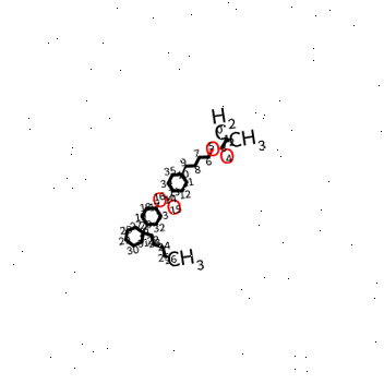 C=C(C)C(=O)OCCCC[C@H]1CC[C@H](C(=O)O[C@H]2CC[C@H](C3(CCCCC)CCCCC3)CC2)CC1